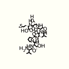 CSCC[C@H](NC(=O)[C@H](CO)NC(=O)[C@@H](NC(=O)[C@H](CC(C)C)NC(=O)[C@@H]1CCCN1C(=O)[C@@H](NC(=O)[C@@H](N)C(C)C)[C@@H](C)O)[C@@H](C)O)C(=O)O